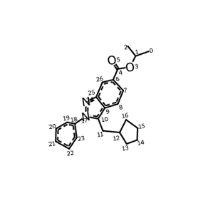 CC(C)OC(=O)c1ccc2c(CC3CCCC3)n(-c3ccccc3)nc2c1